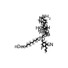 C=CCc1c(F)cc(CO[C@H](COCCCCCCCCCCCCCCCCCC)COP(=O)(O)OC2[C@H]3O[C@@](C)(c4ccc5c(N)ncnn45)[C@H](O)[C@@]23O)cc1C#N